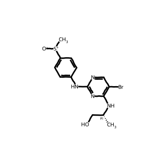 C[C@H](CO)Nc1nc(Nc2ccc([S+](C)[O-])cc2)ncc1Br